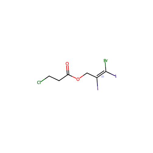 O=C(CCCl)OC/C(I)=C(\Br)I